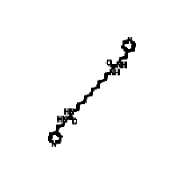 O=C(NCCCCCCCCCCNC(=O)NCCc1ccncc1)NCCc1ccncc1